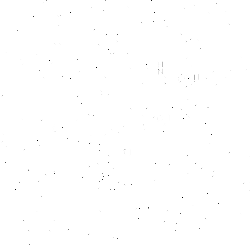 O=C(O)N[C@H]1Cc2cc(Cl)cc(Cl)c2[C@H]1O